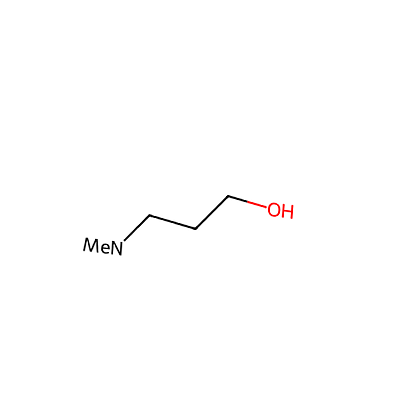 [CH2]NCCCO